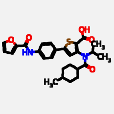 CC1CCC(C(=O)N(c2cc(-c3ccc(NC(=O)c4ccco4)cc3)sc2C(=O)O)C(C)C)CC1